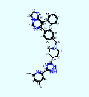 Cc1cc(C)nc(-c2nc(C3CCN(Cc4ccc(-c5ncn6ccnc6c5-c5ccccc5)cc4)CC3)n[nH]2)c1